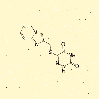 O=c1[nH]nc(SCc2cn3ccccc3n2)c(=O)[nH]1